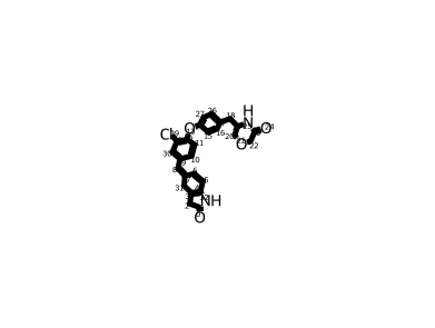 O=C1CC2=C(C=CC(=Cc3ccc(Oc4ccc(CC5COCC(=O)N5)cc4)c(Cl)c3)C2)N1